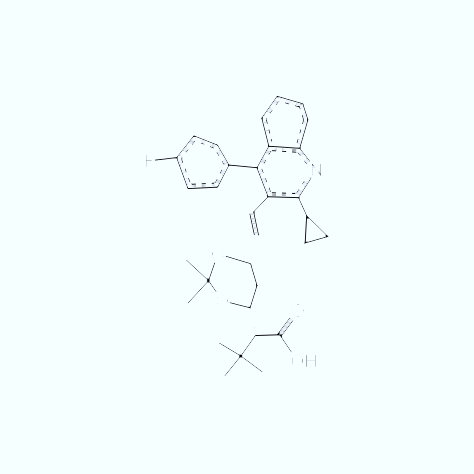 CC1(C)O[C@H](C=Cc2c(C3CC3)nc3ccccc3c2-c2ccc(F)cc2)C[C@H](C(C(=O)O)C(C)(C)C)O1